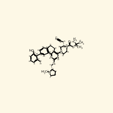 CN1CCC[C@H]1COc1nc2c(c(N3CCN(C(=O)OC(C)(C)C)[C@@H](CC#N)C3)n1)CCc1ccc(-c3c(O)cccc3F)cc1-2